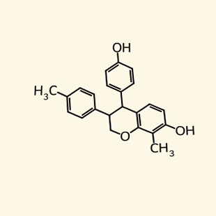 Cc1ccc(C2COc3c(ccc(O)c3C)C2c2ccc(O)cc2)cc1